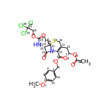 COc1ccc(COC(=O)C2=C(CCOC(C)=O)CS[C@H]3[C@@H](NC(=O)OCC(Cl)(Cl)Cl)C(=O)N23)cc1